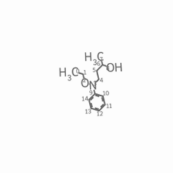 CCON(CCC(C)O)c1ccccc1